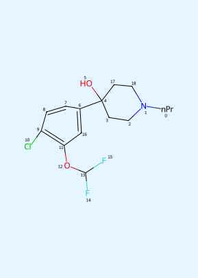 CCCN1CCC(O)(c2ccc(Cl)c(OC(F)F)c2)CC1